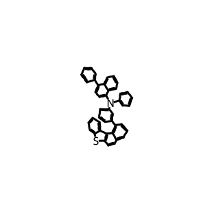 c1ccc(-c2ccc(N(c3ccccc3)c3cccc(-c4cccc5ccc6sc7ccccc7c6c45)c3)c3ccccc23)cc1